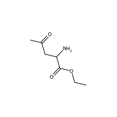 CCOC(=O)C(N)CC(C)=O